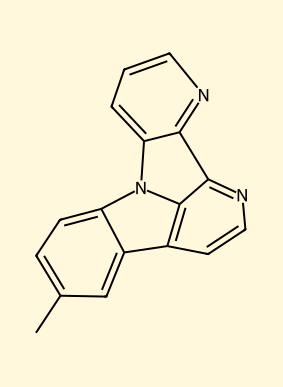 Cc1ccc2c(c1)c1ccnc3c4ncccc4n2c13